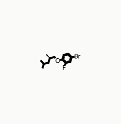 CC(C)C[C@@H](C)COc1ccc(Br)cc1F